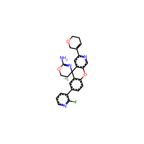 C[C@@H]1COC(N)=NC12c1cc(-c3cccnc3F)ccc1Oc1cnc(C3=CCCOC3)cc12